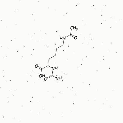 CC(=O)NCCCC[C@H](NC(N)=O)C(=O)O